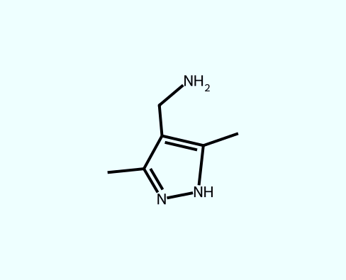 Cc1n[nH]c(C)c1CN